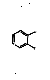 Fc1ccccc1[S]